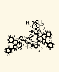 CC(C)(C)OC(=O)N[C@@H](CSSC[C@H](NC(=O)OC(C)(C)C)C(=O)N1CCn2nc(-c3ccccc3)cc2C1CC1CCCCC1)C(=O)N1CCn2nc(-c3ccccc3)cc2C1CC1CCCCC1